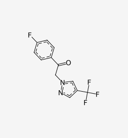 O=C(Cn1cc(C(F)(F)F)cn1)c1ccc(F)cc1